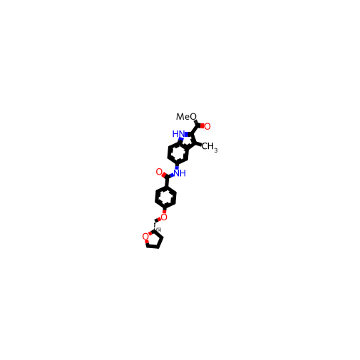 COC(=O)c1[nH]c2ccc(NC(=O)c3ccc(OC[C@@H]4CCCO4)cc3)cc2c1C